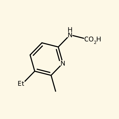 CCc1ccc(NC(=O)O)nc1C